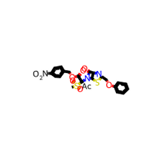 CC(=O)C(C(=O)OCc1ccc([N+](=O)[O-])cc1)(N1C(=O)C2N=C(COc3ccccc3)SC21)S(C)(=O)=O